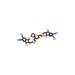 N#Cc1cc2c(cc1C#N)C(=O)C(=Cc1nc3sc4c(c3s1)OC1(CCCCC1)c1c-4sc3nc(C=C4C(=O)c5cc(C#N)c(C#N)cc5C4=O)sc13)C2=O